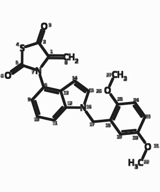 C=C1C(=O)SC(=O)N1c1cccc2c1ccn2Cc1cc(OC)ccc1OC